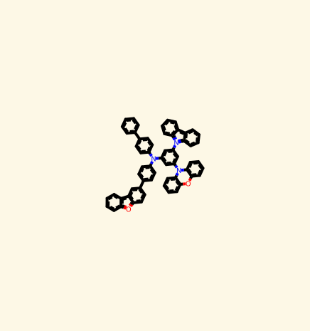 c1ccc(-c2ccc(N(c3ccc(-c4ccc5oc6ccccc6c5c4)cc3)c3cc(N4c5ccccc5Oc5ccccc54)cc(-n4c5ccccc5c5ccccc54)c3)cc2)cc1